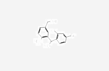 Cc1ccc(CO)cc1C(O)c1ccc(Br)cc1Cl